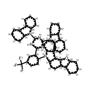 FC(F)(F)c1ccc(-n2c3ccccc3c3c4oc5ccccc5c4ccc32)c(-c2nc(-n3c4ccccc4c4ccccc43)nc(-n3c4ccccc4c4ccccc43)n2)c1